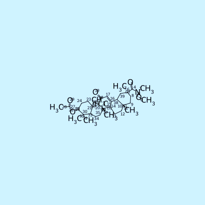 CON(C)C(=O)[C@@]1(C)CC[C@]2(C)CC[C@]3(C)C(=CC(=O)C4[C@@]5(C)CC[C@H](OC(C)=O)C(C)(C)C5CC[C@]43C)C2C1